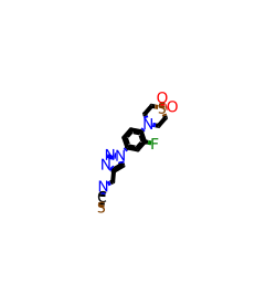 O=S1(=O)CCN(c2ccc(-n3cc(CN=C=S)nn3)cc2F)CC1